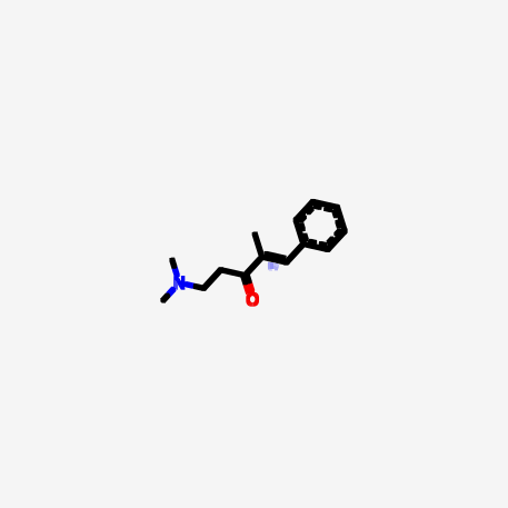 C/C(=C\c1ccccc1)C(=O)CCN(C)C